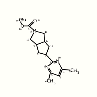 Cc1cc(C)nc(C2CC3CN(C(=O)OC(C)(C)C)CC3C2)n1